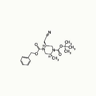 C[C@H]1CN(C(=O)OCc2ccccc2)[C@@H](CC#N)CN1C(=O)OC(C)(C)C